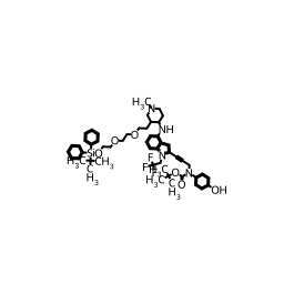 CN1CCC(Nc2cccc3c2cc(C#CCN(C(=O)OC(C)(C)C)c2ccc(O)cc2)n3CC(F)(F)F)C(CCOCCOCCO[Si](c2ccccc2)(c2ccccc2)C(C)(C)C)C1